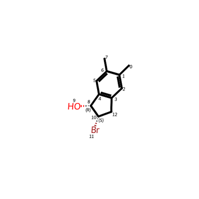 Cc1cc2c(cc1C)[C@@H](O)[C@@H](Br)C2